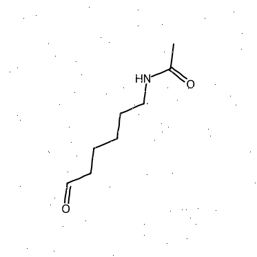 CC(=O)N[CH]CCCCC=O